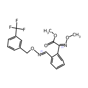 CO/N=C(\C(=O)OC)c1ccccc1/C=N/OCc1cccc(C(F)(F)F)c1